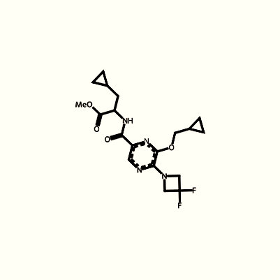 COC(=O)C(CC1CC1)NC(=O)c1cnc(N2CC(F)(F)C2)c(OCC2CC2)n1